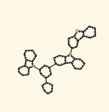 c1ccc(-c2cc(-c3ccc4c(c3)c3ccccc3n4-c3ccc4oc5ccccc5c4c3)cc(-n3c4ccccc4c4ccccc43)c2)cc1